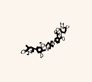 COc1cc(-c2cc(C)c(=O)n(C)c2)cc(OC)c1CN1CCC2(C1)CN(c1ccc3c(c1)C(=O)N(C1CCC(=O)NC1=O)C3=O)C2